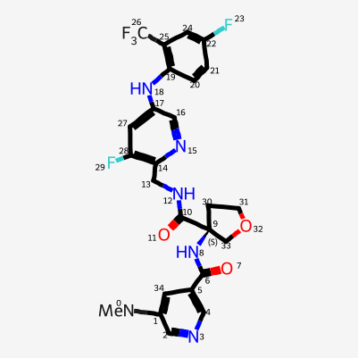 CNc1cncc(C(=O)N[C@@]2(C(=O)NCc3ncc(Nc4ccc(F)cc4C(F)(F)F)cc3F)CCOC2)c1